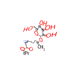 CC(C)OC(=O)/C=C\CC[C@@H](C)OC1O[C@@H](CO)[C@H](O)[C@@H](O)[C@H]1O